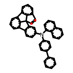 c1ccc(-c2ccc(N(c3ccc4c(c3)C35c6ccccc6-c6cccc(c63)-c3cccc-4c35)c3cccc4ccccc34)cc2)cc1